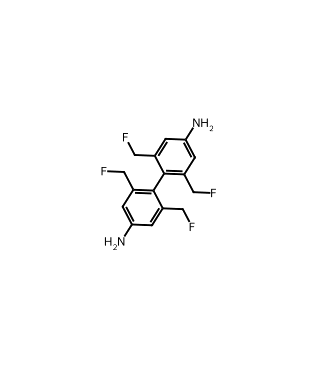 Nc1cc(CF)c(-c2c(CF)cc(N)cc2CF)c(CF)c1